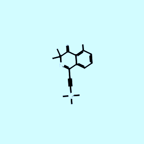 CC1(C)N=C(C#C[Si](C)(C)C)c2cccc(F)c2C1=O